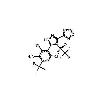 Nc1c(C(F)(F)F)cc(Cl)c(-c2[nH]nc(-c3ncon3)c2S(=O)(=O)C(F)(F)F)c1Cl